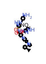 NC1CCC(CNc2ncc([S+]([O-])NC(=O)c3ccc(N4CCC5(CC4)CC(N4CCC[C@H]4c4ccccc4C4CC4)C5)cc3Oc3cnc4[nH]ccc4c3)cc2[N+](=O)[O-])CC1